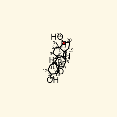 C[C@]12CC[C@@H]3[C@@H](CC4OC[C@@]35CCC(O)CC45Br)[C@@H]1CCC2O